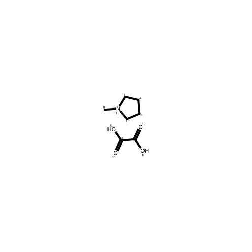 CN1CCCC1.O=C(O)C(=O)O